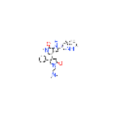 CN(C)CCn1cc(-c2ccccc2)c(-c2cn(C)c(=O)c3[nH]c(/C(C=N)=C/NC(F)(F)F)cc23)cc1=O